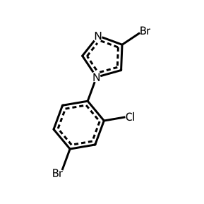 Clc1cc(Br)ccc1-n1cnc(Br)c1